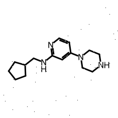 c1cc(N2CCNCC2)cc(NCC2CCCC2)n1